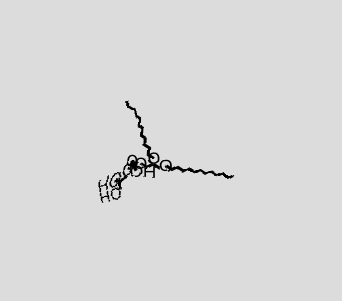 CCCCCCCCCCCCOCC(COP(=O)(O)OCC(O)CO)OCCCCCCCCCCCC